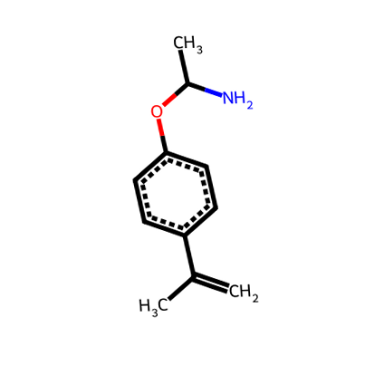 C=C(C)c1ccc(OC(C)N)cc1